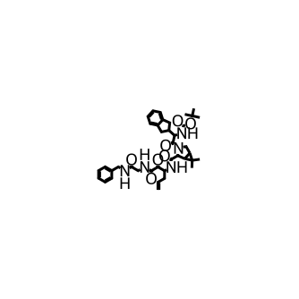 C=CCC(NC(=O)C1C2C(CN1C(=O)C(NC(=O)OC(C)(C)C)C1Cc3ccccc3C1)C2(C)C)C(=O)C(=O)NCC(=O)NCc1ccccc1